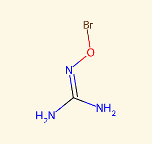 NC(N)=NOBr